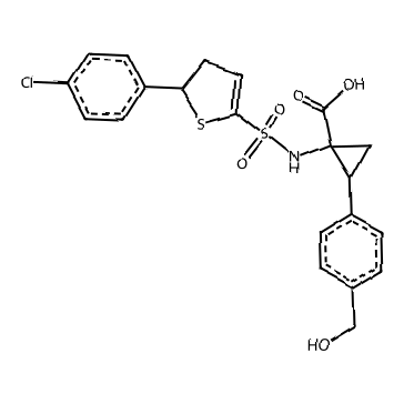 O=C(O)C1(NS(=O)(=O)C2=CCC(c3ccc(Cl)cc3)S2)CC1c1ccc(CO)cc1